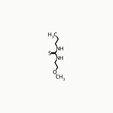 CCCNC(=S)NCCOC